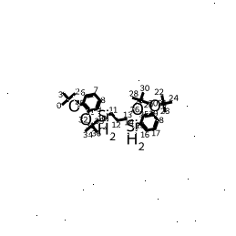 CC(C)(C)Oc1cccc([SiH2]CCC[SiH2]c2cccc(OC(C)(C)C)c2OC(C)(C)C)c1OC(C)(C)C